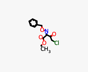 CCOC(=O)C(=NOCc1ccccc1)C(=O)CCl